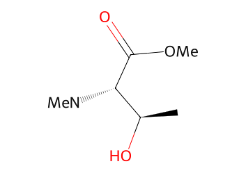 CN[C@H](C(=O)OC)[C@@H](C)O